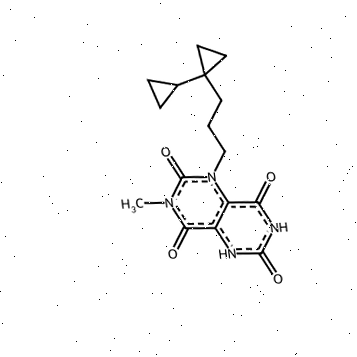 Cn1c(=O)c2[nH]c(=O)[nH]c(=O)c2n(CCCC2(C3CC3)CC2)c1=O